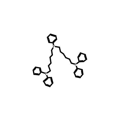 c1ccc(P(CCCCCCP(c2ccccc2)c2ccccc2)CCCCCCP(c2ccccc2)c2ccccc2)cc1